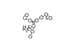 CC1(C)c2cc(-c3ccccc3)ccc2-c2ccc(N(c3ccc(-c4ccc(-c5cccc6c5sc5ccccc56)cc4)cc3)c3ccc(-c4cccc5ccccc45)cc3)cc21